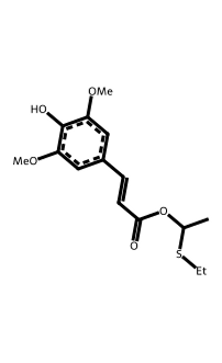 CCSC(C)OC(=O)/C=C/c1cc(OC)c(O)c(OC)c1